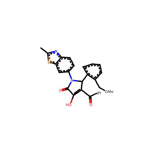 COCc1ccccc1C1C(C(=O)C(C)C)=C(O)C(=O)N1c1ccc2nc(C)sc2c1